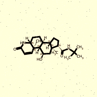 CC(C)(C)NC(=O)[C@H]1CC[C@H]2[C@@H]3CC[C@H]4NC(=O)C=C[C@]4(C)[C@H]3[C@H](O)C[C@]12C